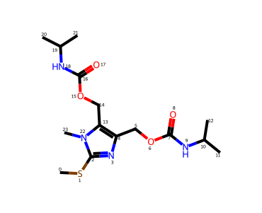 CSc1nc(COC(=O)NC(C)C)c(COC(=O)NC(C)C)n1C